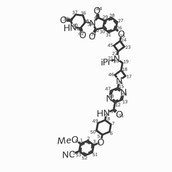 COc1cc(OC2CCC(NC(=O)c3cnc(N4CC(CN(C(C)C)C5CC(Oc6ccc7c(c6)C(=O)N([C@@H]6CCC(=O)NC6=O)C7=O)C5)C4)cn3)CC2)ccc1C#N